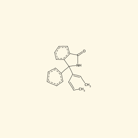 C/C=C\C(=C/C)C1(c2ccccc2)NC(=O)c2ccccc21